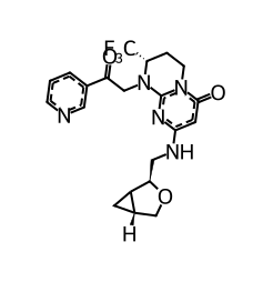 O=C(CN1c2nc(NC[C@H]3OC[C@@H]4CC43)cc(=O)n2CC[C@H]1C(F)(F)F)c1cccnc1